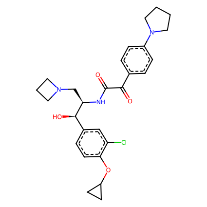 O=C(N[C@H](CN1CCC1)[C@H](O)c1ccc(OC2CC2)c(Cl)c1)C(=O)c1ccc(N2CCCC2)cc1